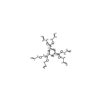 C=CCOCN(OCC=C)c1nc(N(OCC=C)OCC=C)nc(N(OCC=C)OCC=C)n1